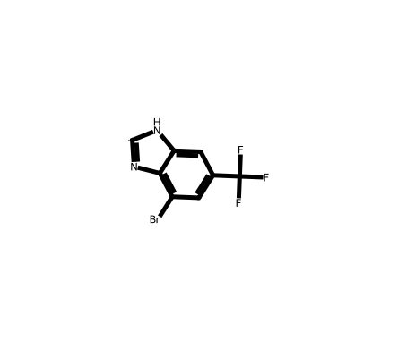 FC(F)(F)c1cc(Br)c2n[c][nH]c2c1